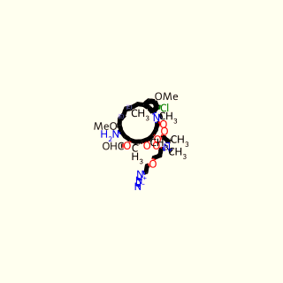 COc1cc2cc(c1Cl)N(C)C(=O)CC(OC(=O)[C@H](C)N(C)C(=O)CCOCCN=[N+]=[N-])[C@@]1(C)OC1[C@H](C)C(OC=O)CC(N)C(OC)/C=C/C=C(\C)C2